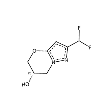 O[C@@H]1COc2cc(C(F)F)nn2C1